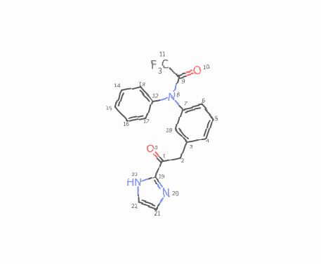 O=C(Cc1cccc(N(C(=O)C(F)(F)F)c2ccccc2)c1)c1ncc[nH]1